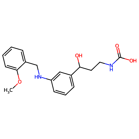 COc1ccccc1CNc1cccc(C(O)CCNC(=O)O)c1